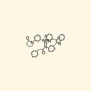 O=C(Cc1ccccc1)Nc1cccc(-c2nc3ccccn3c2-c2ccnc(Nc3cccc(N4CCCC4=O)c3)n2)c1